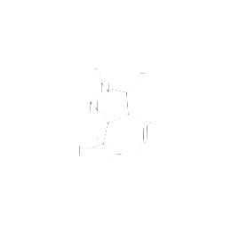 CN1N=C(C(F)F)C(C=O)C1F